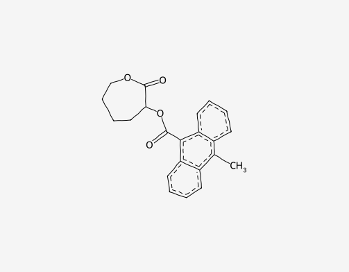 Cc1c2ccccc2c(C(=O)OC2CCCCOC2=O)c2ccccc12